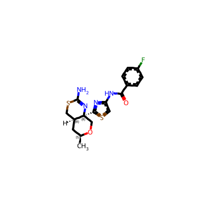 C[C@H]1C[C@H]2CSC(N)=N[C@@]2(c2nc(NC(=O)c3ccc(F)cc3)cs2)CO1